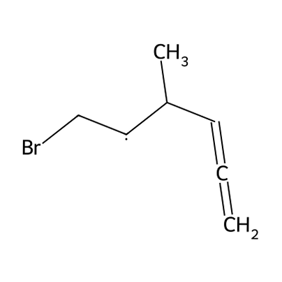 C=C=CC(C)[CH]CBr